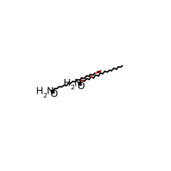 C=C.CCCCCCCCCCCCCCCCCCCC(N)=O.CCCCCCCCCCCCCCCCCCCC(N)=O